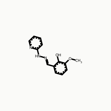 COc1cccc(C=NNc2ccccn2)c1O